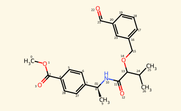 COC(=O)c1ccc([C@H](C)NC(=O)C(OCc2cccc(C=O)c2)C(C)C)cc1